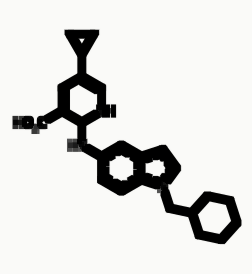 O=C(O)C1=CC(C2CC2)=CNC1Nc1ccc2c(ccn2CC2CCCCC2)c1